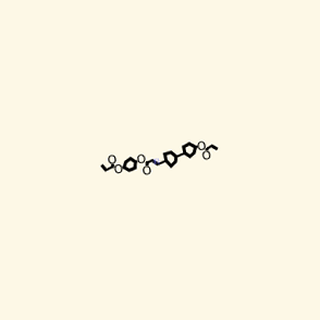 C=CC(=O)Oc1ccc(OC(=O)/C=C/c2ccc(-c3ccc(OC(=O)C=C)cc3)cc2)cc1